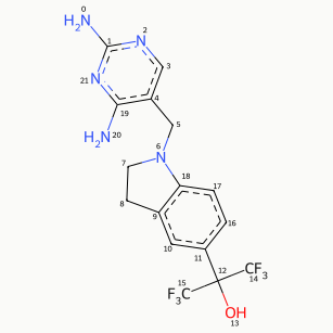 Nc1ncc(CN2CCc3cc(C(O)(C(F)(F)F)C(F)(F)F)ccc32)c(N)n1